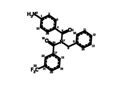 Nc1ccc(C(=O)N(Cc2ccccc2)C(=O)c2cccc(C(F)(F)F)c2)cc1